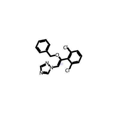 Clc1cccc(Cl)c1/C(=C/n1cncn1)OCc1ccccc1